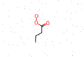 CCCC(=O)O[O]